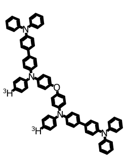 [3H]c1ccc(N(c2ccc(Oc3ccc(N(c4ccc([3H])cc4)c4ccc(-c5ccc(N(c6ccccc6)c6ccccc6)cc5)cc4)cc3)cc2)c2ccc(-c3ccc(N(c4ccccc4)c4ccccc4)cc3)cc2)cc1